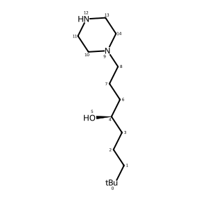 CC(C)(C)CCC[C@@H](O)CCCN1CCNCC1